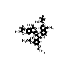 CCOc1cc(OC(C)C)c(F)c(C(Nc2ccc3c(N)nccc3c2)c2nc(-c3ccccc3C(N)=O)c[nH]2)c1.O=C(O)C(F)(F)F.O=C(O)C(F)(F)F